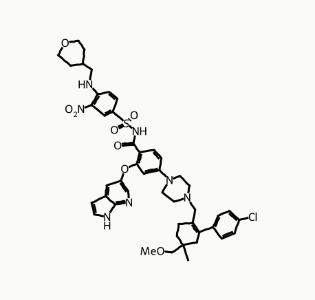 COCC1(C)CCC(CN2CCN(c3ccc(C(=O)NS(=O)(=O)c4ccc(NCC5CCOCC5)c([N+](=O)[O-])c4)c(Oc4cnc5[nH]ccc5c4)c3)CC2)=C(c2ccc(Cl)cc2)C1